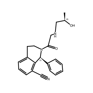 C[C@@H](O)CNCC(=O)N1CCc2cccc(C#N)c2[C@@H]1c1ccccc1